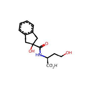 O=C(O)[C@H](CCO)NC(=O)C1(O)Cc2ccccc2C1